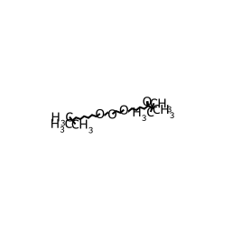 CC(C)(C)CCCCCCOCCOCCOCCCCCC(=O)C(C)(C)C